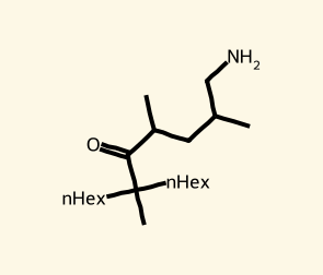 CCCCCCC(C)(CCCCCC)C(=O)C(C)CC(C)CN